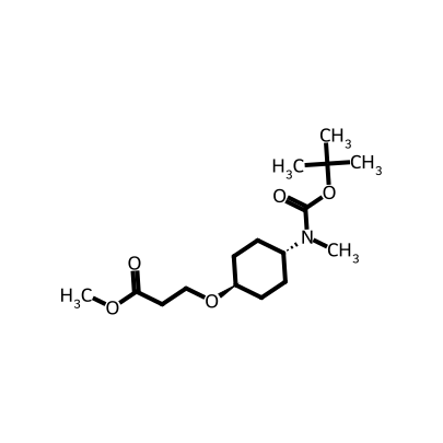 COC(=O)CCO[C@H]1CC[C@H](N(C)C(=O)OC(C)(C)C)CC1